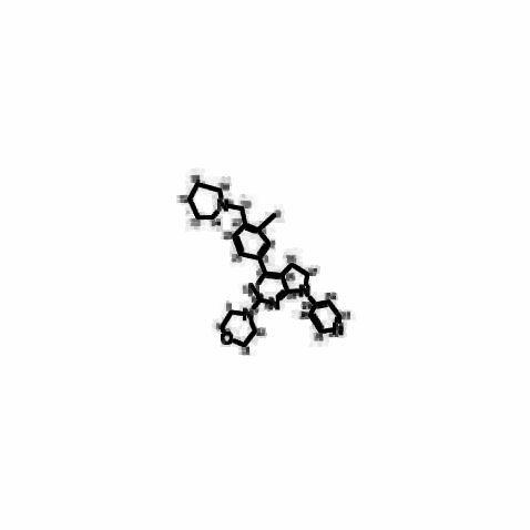 Cc1cc(-c2nc(N3CCOCC3)nc3c2CCN3c2ccncc2)ccc1CN1CCCCC1